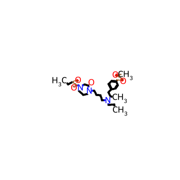 CCCN(CCCCN1CCCN(S(=O)(=O)CCC)CC1=O)C(C)Cc1ccc(S(C)(=O)=O)cc1